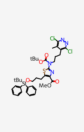 COC(=O)c1nc(N(CCCc2c(Cl)nnc(Cl)c2C)C(=O)OC(C)(C)C)sc1CCCO[Si](c1ccccc1)(c1ccccc1)C(C)(C)C